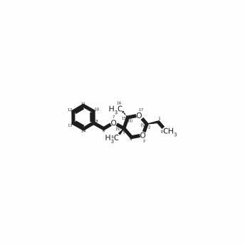 CC[C@H]1OC[C@](C)(OCc2ccccc2)[C@H](C)O1